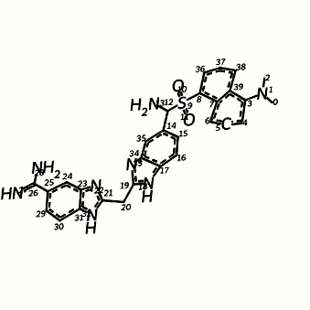 CN(C)c1cccc2c(S(=O)(=O)C(N)c3ccc4[nH]c(Cc5nc6cc(C(=N)N)ccc6[nH]5)nc4c3)cccc12